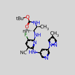 CCC[C@@H](Nc1nc(Nc2cncc(-n3cc(C)cn3)c2)c(C#N)cc1F)[C@H](C)NC(=O)OC(C)(C)C